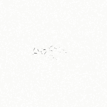 CC(=O)NCC1CCN(Cc2cc(Oc3ccc(N4CCN(CC(C)C(=O)O)CC4)nc3)nc(-c3cc(Cl)cc(Cl)c3)c2)CC1